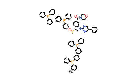 CS(=O)c1cn(-c2ncc(-c3ccccc3)cn2)c2cc(C(=O)N3CCOCC3)ccc12.[Pd].c1ccc(P(c2ccccc2)c2ccccc2)cc1.c1ccc(P(c2ccccc2)c2ccccc2)cc1.c1ccc(P(c2ccccc2)c2ccccc2)cc1.c1ccc(P(c2ccccc2)c2ccccc2)cc1